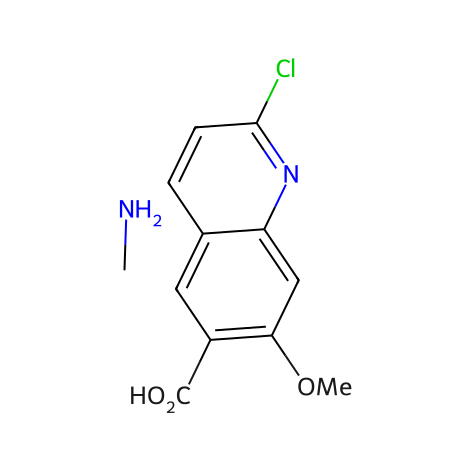 CN.COc1cc2nc(Cl)ccc2cc1C(=O)O